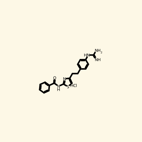 Cl.N=C(N)Nc1ccc(CCc2csc(NC(=O)c3ccccc3)n2)cc1